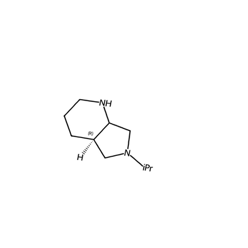 CC(C)N1CC2NCCC[C@@H]2C1